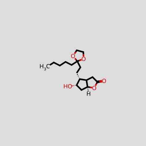 CCCCCC1(CC[C@@H]2C3CC(=O)O[C@H]3C[C@@H]2O)OCCO1